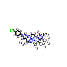 CC(C)[C@H]1[C@H](C)N(C)C(=O)N1c1ccnc(N[C@@H](C)c2cn(-c3ccc(Cl)cc3)cn2)n1